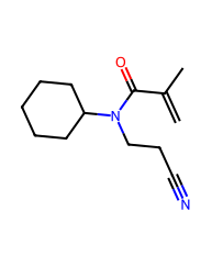 C=C(C)C(=O)N(CCC#N)C1CCCCC1